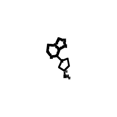 N[C@H]1CCN(c2nccn3cnnc23)C1